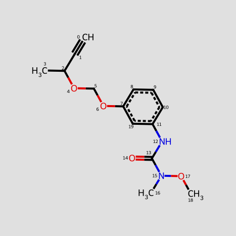 C#CC(C)OCOc1cccc(NC(=O)N(C)OC)c1